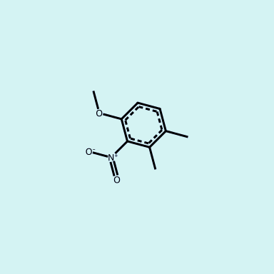 COc1ccc(C)c(C)c1[N+](=O)[O-]